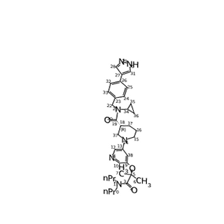 CCCN(CCC)C(=O)C(C)(C)Oc1cncc(N2CCC[C@@H](C(=O)N(Cc3ccc(-c4cn[nH]c4)cc3)C3CC3)C2)c1